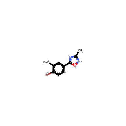 COc1cc(-c2nc(C)no2)ccc1Br